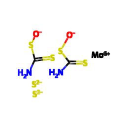 NC(=S)S[O-].NC(=S)S[O-].[Mo+6].[S-2].[S-2]